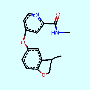 CNC(=O)c1cc(Oc2ccc3c(c2)C(C)CO3)ccn1